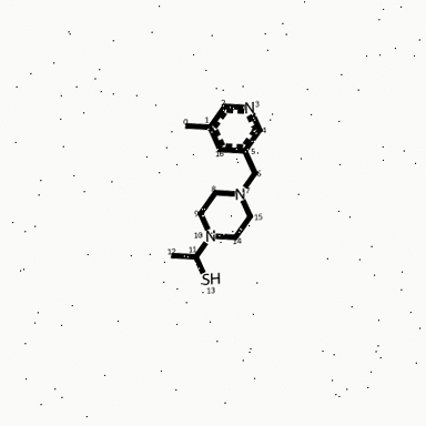 Cc1cncc(CN2CCN(C(C)S)CC2)c1